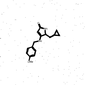 COc1ccc(CNC2=CC(=O)NC2CC2CC2)cc1